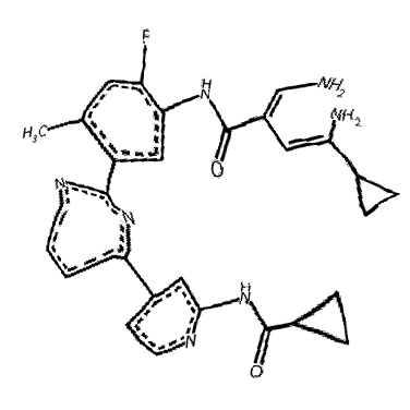 Cc1cc(F)c(NC(=O)C(/C=C(\N)C2CC2)=C/N)cc1-c1nccc(-c2ccnc(NC(=O)C3CC3)c2)n1